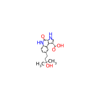 CC(C)(O)CCc1ccc2[nH]c(=O)c3[nH]cc(C(=O)O)c3c2c1